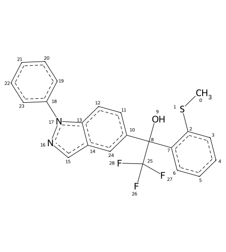 CSc1ccccc1C(O)(c1ccc2c(cnn2-c2ccccc2)c1)C(F)(F)F